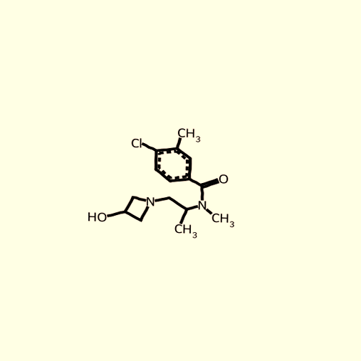 Cc1cc(C(=O)N(C)C(C)CN2CC(O)C2)ccc1Cl